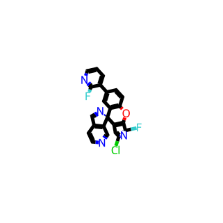 Fc1ncccc1-c1ccc2c(c1)[C@@]1(N=Cc3ccncc31)c1cc(Cl)nc(F)c1O2